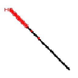 CCCCCCCCCCCCCCCCCCCCCCCCCCCCCCCCCCCCCCCCCCCCCCCCCCCCCCCCCCOOOOOOOOOOOOOOOOOOOOOOOO